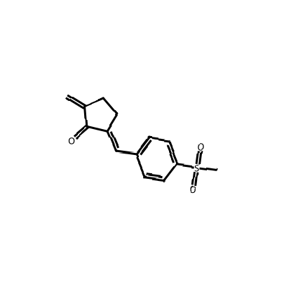 C=C1CC/C(=C\c2ccc(S(C)(=O)=O)cc2)C1=O